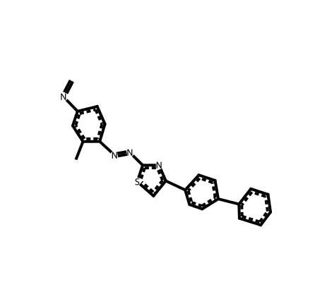 C=Nc1ccc(/N=N/c2nc(-c3ccc(-c4ccccc4)cc3)cs2)c(C)c1